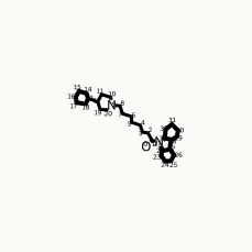 O=C(CCCCCCCN1CCC(c2ccccc2)CC1)n1c2ccccc2c2ccccc21